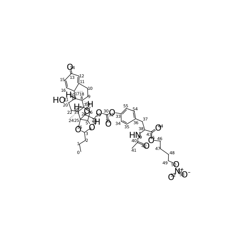 CCCC1O[C@@H]2C[C@H]3[C@@H]4CCC5=CC(=O)C=C[C@]5(C)[C@H]4[C@@H](O)C[C@]3(C)C2(C(=O)COC(=O)Oc2ccc(CC(NC(C)=O)C(=O)OCCCCO[N+](=O)[O-])cc2)O1